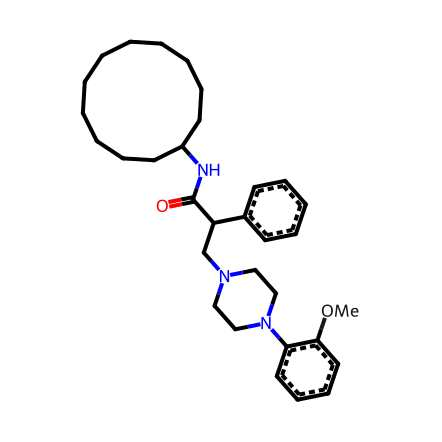 COc1ccccc1N1CCN(CC(C(=O)NC2CCCCCCCCCCC2)c2ccccc2)CC1